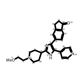 COCCN1CCC(c2nc(-c3ccc4c(c3)CCC4=O)c(-c3ccncc3)[nH]2)CC1